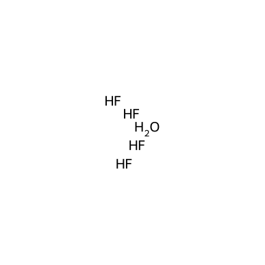 F.F.F.F.O